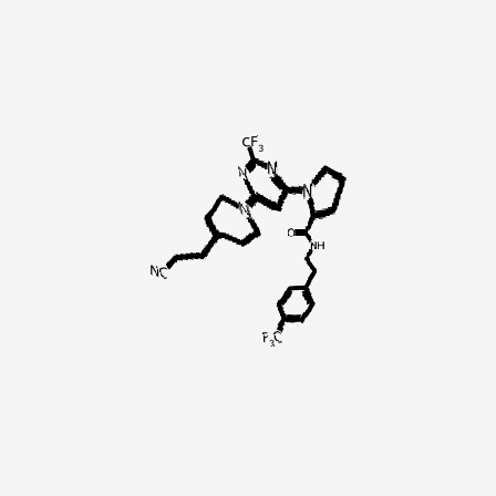 N#CCCC1CCN(c2cc(N3CCCC3C(=O)NCCc3ccc(C(F)(F)F)cc3)nc(C(F)(F)F)n2)CC1